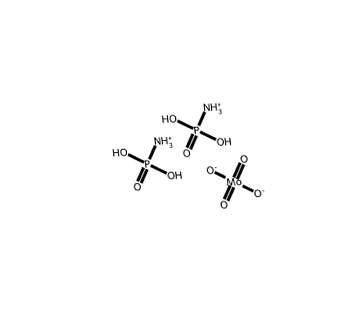 [NH3+]P(=O)(O)O.[NH3+]P(=O)(O)O.[O]=[Mo](=[O])([O-])[O-]